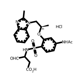 CC(=O)Nc1ccc(S(=O)(=O)NC(C=O)CC(=O)O)c(O[C@H](C)Cn2c(C)nc3ccccc32)c1.Cl